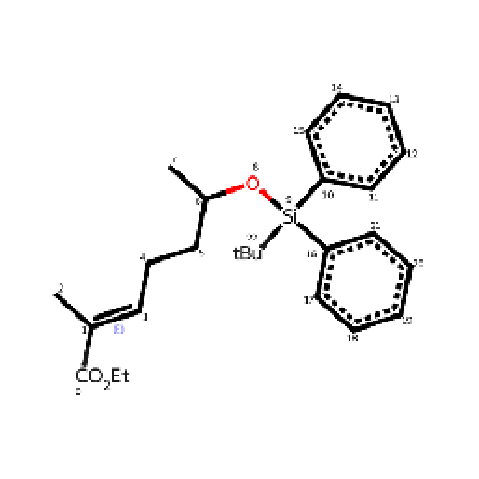 CCOC(=O)/C(C)=C/CCC(C)O[Si](c1ccccc1)(c1ccccc1)C(C)(C)C